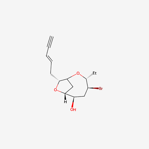 C#C/C=C/C[C@H]1O[C@@H]2CC1O[C@H](CC)[C@@H](Br)C[C@H]2O